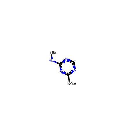 CCCCNc1ncnc(OC)n1